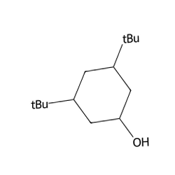 CC(C)(C)C1CC(O)CC(C(C)(C)C)C1